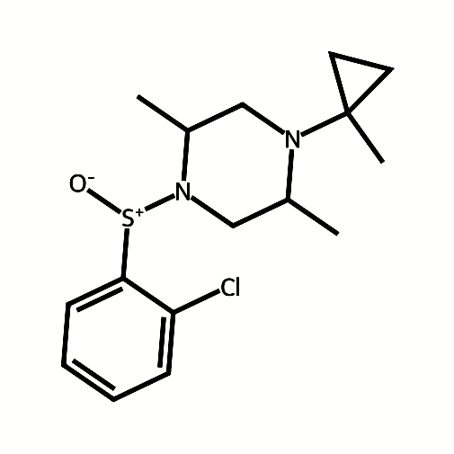 CC1CN(C2(C)CC2)C(C)CN1[S+]([O-])c1ccccc1Cl